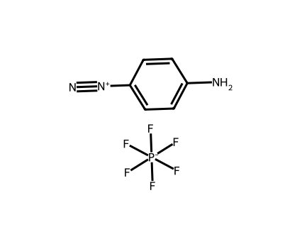 F[P-](F)(F)(F)(F)F.N#[N+]c1ccc(N)cc1